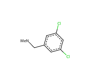 CNCc1cc(Cl)cc(Cl)c1